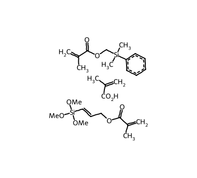 C=C(C)C(=O)O.C=C(C)C(=O)OCC=C[Si](OC)(OC)OC.C=C(C)C(=O)OC[Si](C)(C)c1ccccc1